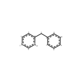 [c]1nccc(Cc2ccccc2)n1